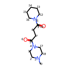 CN1CCN(C(=O)CCC(=O)N2CCCCC2)CC1